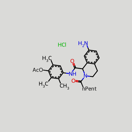 CCCCCC(=O)N1CCc2ccc(N)cc2C1C(=O)Nc1cc(C)c(OC(C)=O)c(C)c1C.Cl